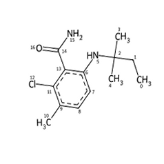 CCC(C)(C)Nc1ccc(C)c(Cl)c1C(N)=O